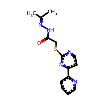 CC(C)=NNC(=O)CSc1nccc(-c2ccccn2)n1